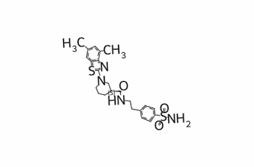 Cc1cc(C)c2nc(N3CCC[C@H](C(=O)NCCc4ccc(S(N)(=O)=O)cc4)C3)sc2c1